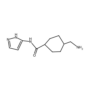 NCC1CCC(C(=O)Nc2ccn[nH]2)CC1